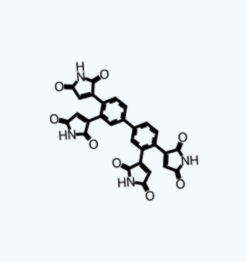 O=C1C=C(c2ccc(-c3ccc(C4=CC(=O)NC4=O)c(C4=CC(=O)NC4=O)c3)cc2C2=CC(=O)NC2=O)C(=O)N1